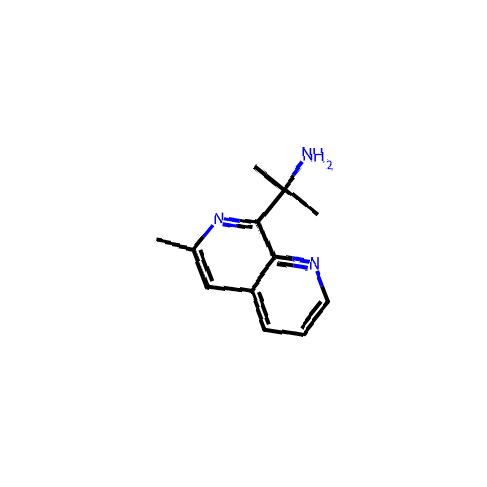 Cc1cc2cccnc2c(C(C)(C)N)n1